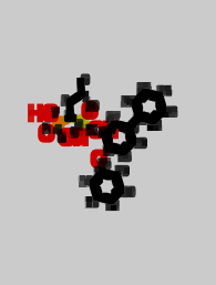 CCCC(P(=O)(O)O)S(=O)(=O)O.c1ccc(Oc2ccc(-c3ccccc3)cc2)cc1